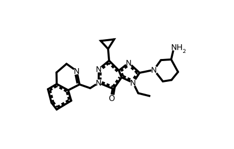 CCn1c(N2CCCC(N)C2)nc2c(C3CC3)nn(CC3=NCCc4ccccc43)c(=O)c21